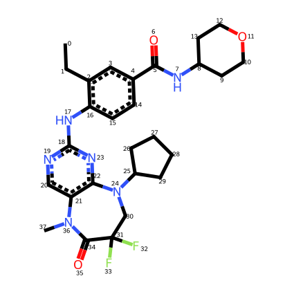 CCc1cc(C(=O)NC2CCOCC2)ccc1Nc1ncc2c(n1)N(C1CCCC1)CC(F)(F)C(=O)N2C